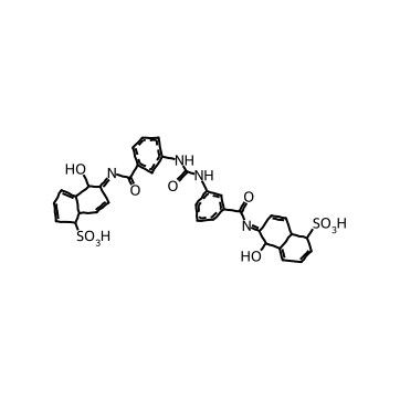 O=C(Nc1cccc(C(=O)N=C2C=CC3C(=CC=CC3S(=O)(=O)O)C2O)c1)Nc1cccc(C(=O)N=C2C=CC3C(=CC=CC3S(=O)(=O)O)C2O)c1